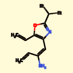 C=C/C(N)=C\c1nc(C(CC)CC)oc1C=C